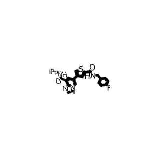 CC(C)NC(=O)c1cc(-c2csc(C(=O)NCc3ccc(F)cc3)c2)cn2ncnc12